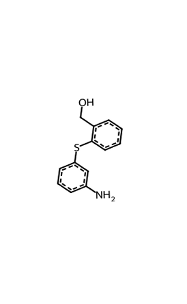 Nc1cccc(Sc2ccccc2CO)c1